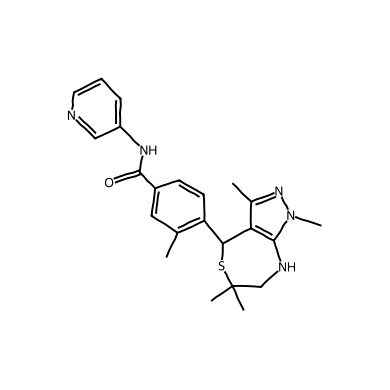 Cc1cc(C(=O)Nc2cccnc2)ccc1C1SC(C)(C)CNc2c1c(C)nn2C